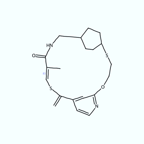 C=C1S/C=C(\C)C(=O)NCC2CCC(CC2)SCCOc2cc1ccn2